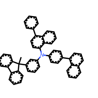 CC1(c2cccc(N(c3ccc(-c4cccc5ccccc45)cc3)c3ccc(-c4ccccc4)c4ccccc34)c2)c2ccccc2-c2ccccc21